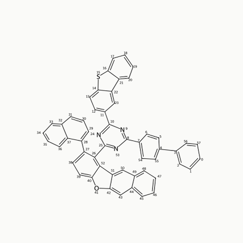 c1ccc(-c2ccc(-c3nc(-c4ccc5sc6ccccc6c5c4)nc(-c4c(-c5cccc6ccccc56)ccc5oc6cc7ccccc7cc6c45)n3)cc2)cc1